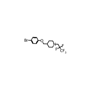 FC(F)(F)C(F)(F)CN1CCC(COc2ccc(Br)cc2)CC1